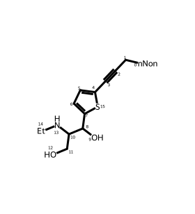 CCCCCCCCCCC#Cc1ccc(C(O)C(CO)NCC)s1